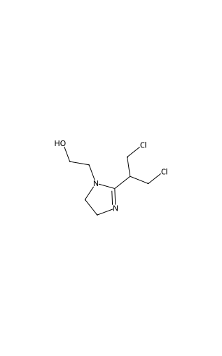 OCCN1CCN=C1C(CCl)CCl